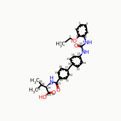 CCOc1ccccc1NC(=O)Nc1ccc(-c2ccc(C(=O)N[C@@H](C(=O)O)C(C)C)cc2)cc1